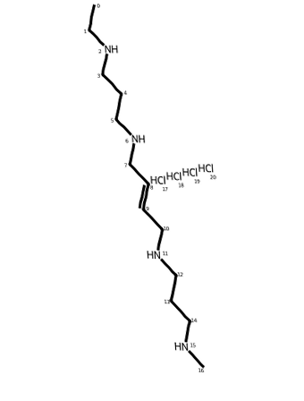 CCNCCCNC/C=C/CNCCCNC.Cl.Cl.Cl.Cl